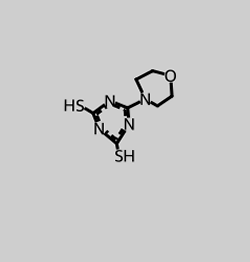 Sc1nc(S)nc(N2CCOCC2)n1